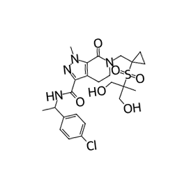 CC(NC(=O)c1nn(C)c2c1CCN(CC1(S(=O)(=O)C(C)(CO)CO)CC1)C2=O)c1ccc(Cl)cc1